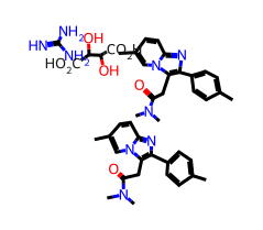 Cc1ccc(-c2nc3ccc(C)cn3c2CC(=O)N(C)C)cc1.Cc1ccc(-c2nc3ccc(C)cn3c2CC(=O)N(C)C)cc1.N=C(N)N.O=C(O)C(O)C(O)C(=O)O